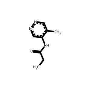 CCC(=O)Nc1cnncc1C